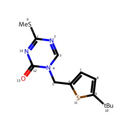 CSc1ncn(Cc2ccc(C(C)(C)C)s2)c(=O)n1